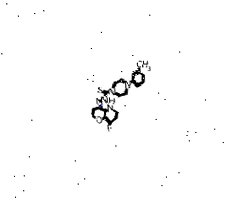 Cc1cccc(N2CCN(C(=S)N/N=C3/CCOc4c(F)ccnc43)CC2)c1